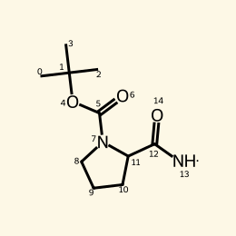 CC(C)(C)OC(=O)N1CCCC1C([NH])=O